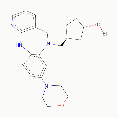 CCO[C@H]1CC[C@H](CN2Cc3cccnc3Nc3ccc(N4CCOCC4)cc32)C1